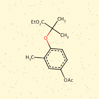 CCOC(=O)C(C)(C)Oc1ccc(OC(C)=O)cc1C